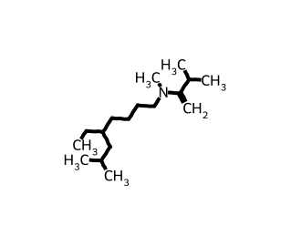 C=C(C(C)C)N(C)CCCCC(CC)CC(C)C